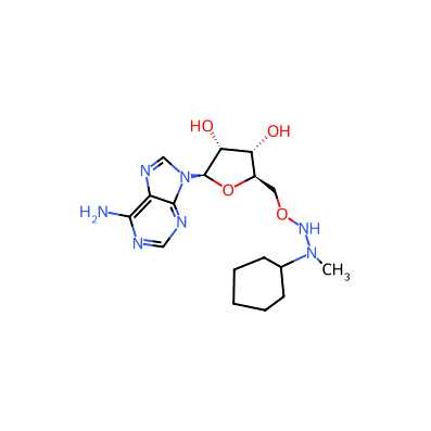 CN(NOC[C@H]1O[C@@H](n2cnc3c(N)ncnc32)[C@H](O)[C@@H]1O)C1CCCCC1